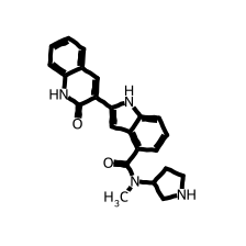 CN(C(=O)c1cccc2[nH]c(-c3cc4ccccc4[nH]c3=O)cc12)C1CCNC1